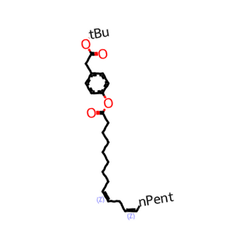 CCCCC/C=C\C/C=C\CCCCCCCC(=O)Oc1ccc(CC(=O)OC(C)(C)C)cc1